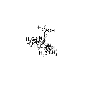 [CH2]C(O)COCCC(C)([SiH2]O[Si](C)(C)C)[SiH2]O[Si](C)(C)C